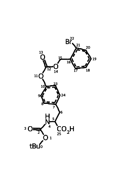 CC(C)(C)OC(=O)NC(Cc1ccc(OC(=O)OCc2ccccc2Br)cc1)C(=O)O